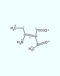 CC/C(N)=C(\C=O)C(C)=O